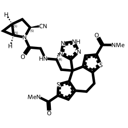 CNC(=O)c1cc2c(s1)CCc1cc(C(=O)NC)sc1C2(C[C@@H](C)NCC(=O)N1[C@H](C#N)C[C@@H]2C[C@@H]21)c1nn[nH]n1